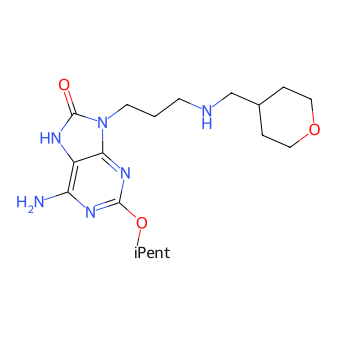 CCCC(C)Oc1nc(N)c2[nH]c(=O)n(CCCNCC3CCOCC3)c2n1